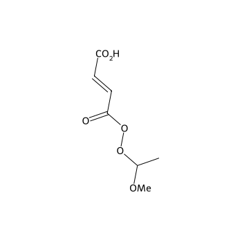 COC(C)OOC(=O)C=CC(=O)O